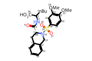 CCCCC(NC(=O)[C@H]1Cc2ccccc2CN1S(=O)(=O)c1ccc(OC)c(OC)c1)C(=O)O